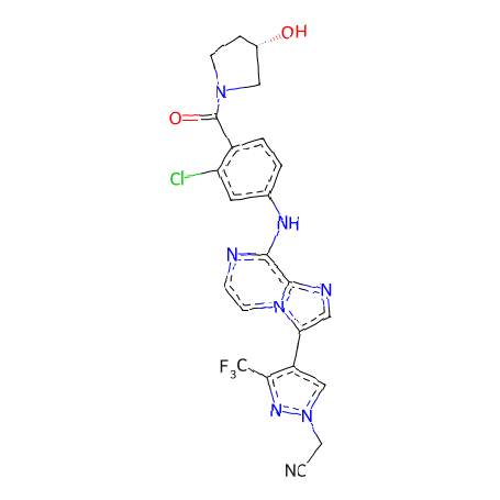 N#CCn1cc(-c2cnc3c(Nc4ccc(C(=O)N5CC[C@H](O)C5)c(Cl)c4)nccn23)c(C(F)(F)F)n1